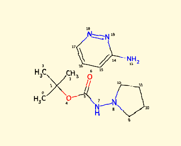 CC(C)(C)OC(=O)NN1CCCC1.Nc1cccnn1